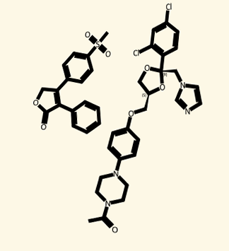 CC(=O)N1CCN(c2ccc(OC[C@H]3CO[C@](Cn4ccnc4)(c4ccc(Cl)cc4Cl)O3)cc2)CC1.CS(=O)(=O)c1ccc(C2=C(c3ccccc3)C(=O)OC2)cc1